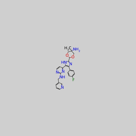 CC1(N)COC(c2nc(-c3ccc(F)cc3)c(-c3ccnc(NCc4cccnc4)n3)[nH]2)OC1